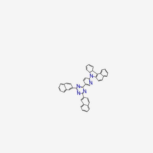 C1=CC2c3c(ccc4ccccc34)N(c3ccc(-c4nc(-c5ccc6ccccc6c5)nc(-c5ccc6ccccc6c5)n4)cn3)C2C=C1